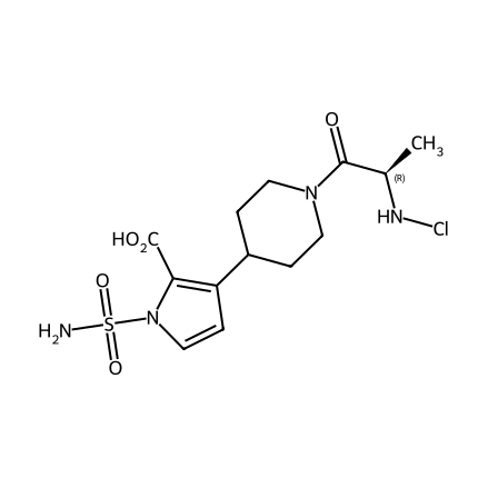 C[C@@H](NCl)C(=O)N1CCC(c2ccn(S(N)(=O)=O)c2C(=O)O)CC1